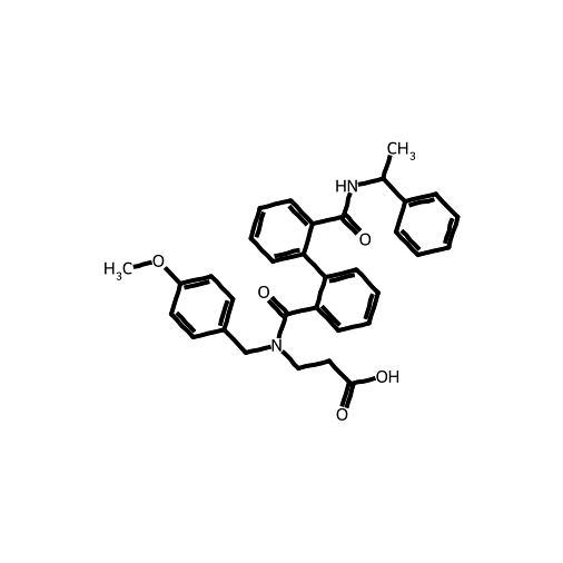 COc1ccc(CN(CCC(=O)O)C(=O)c2ccccc2-c2ccccc2C(=O)NC(C)c2ccccc2)cc1